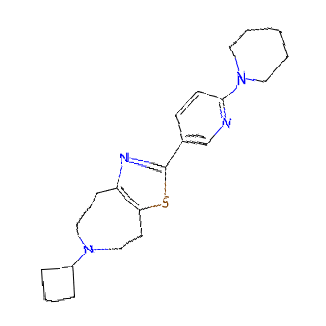 c1cc(N2CCCCC2)ncc1-c1nc2c(s1)CCN(C1CCC1)CC2